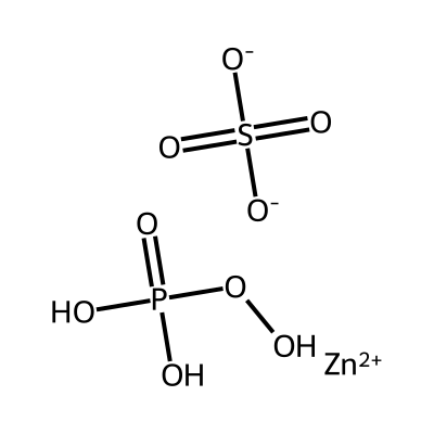 O=P(O)(O)OO.O=S(=O)([O-])[O-].[Zn+2]